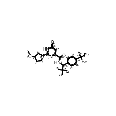 CO[C@@H]1CCN(c2nc(C(=O)NC(c3ccc(C(F)(F)F)cc3)C(C)(C)C)cc(=O)[nH]2)C1